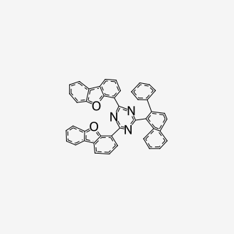 c1ccc(-c2ccc3ccccc3c2-c2nc(-c3cccc4c3oc3ccccc34)nc(-c3cccc4c3oc3ccccc34)n2)cc1